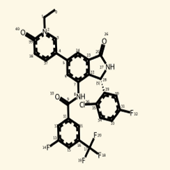 CCn1cc(-c2cc(NC(=O)c3cc(F)cc(C(F)(F)F)c3)c3c(c2)C(=O)N[C@@H]3c2cc(F)ccc2Cl)ccc1=O